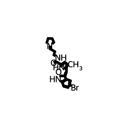 Cc1cc(C(=O)NCCCN2CCCC2)[nH]c1C=C1C(=O)Nc2ccc(Br)cc21